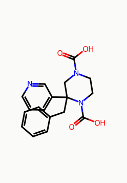 O=C(O)N1CCN(C(=O)O)C(Cc2ccccc2)(c2cccnc2)C1